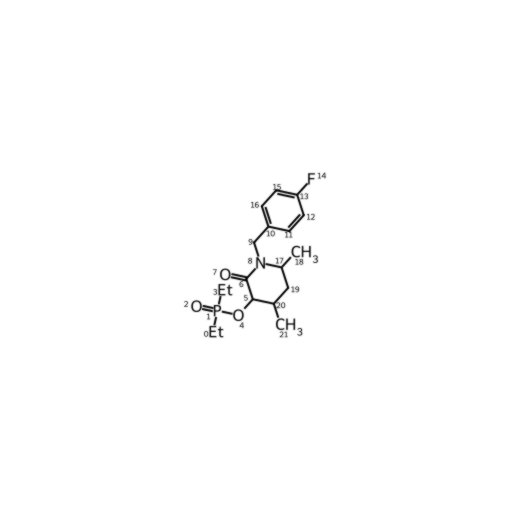 CCP(=O)(CC)OC1C(=O)N(Cc2ccc(F)cc2)C(C)CC1C